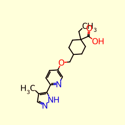 CCC1(C(=O)O)CCC(COc2ccc(-c3[nH]ncc3C)nc2)CC1